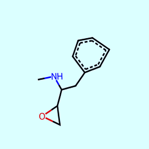 CNC(Cc1ccccc1)C1CO1